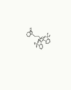 FC(F)(F)c1ccccc1-c1nc(CCc2c[nH]c3ccccc23)oc1-c1ccccc1C(F)(F)F